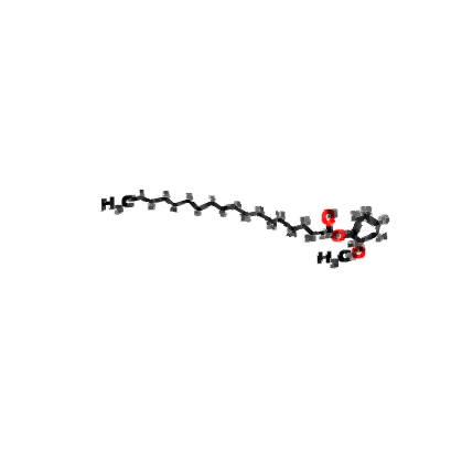 CCCCCCCCC=CCCCCCCCC(=O)Oc1ccccc1OC